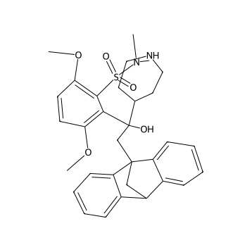 COc1ccc(OC)c(S(=O)(=O)N(C)C)c1C(O)(CC12CC(c3ccccc31)c1ccccc12)C1CCNCC1